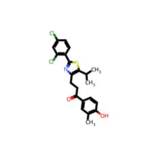 Cc1cc(C(=O)CCc2nc(-c3ccc(Cl)cc3Cl)sc2C(C)C)ccc1O